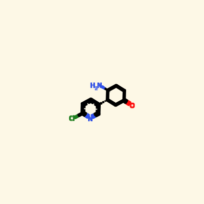 N[C@H]1CCC(=O)C[C@@H]1c1ccc(Cl)nc1